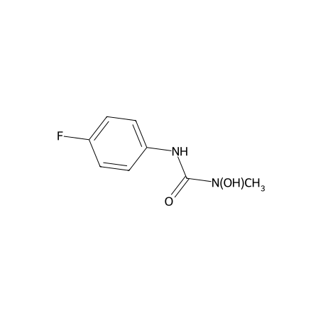 CN(O)C(=O)Nc1ccc(F)cc1